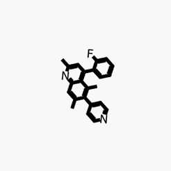 Cc1cc(-c2ccccc2F)c2c(C)c(-c3ccncc3)c(C)cc2n1